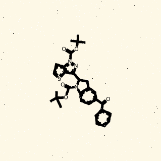 CC(C)(C)OC(=O)N1c2ccc(C(=O)c3ccccc3)cc2CC1c1nn(C(=O)OC(C)(C)C)c2ccsc12